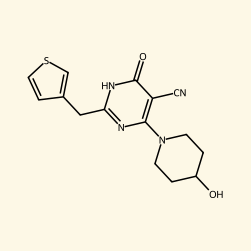 N#Cc1c(N2CCC(O)CC2)nc(Cc2ccsc2)[nH]c1=O